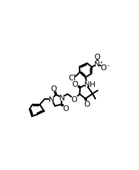 CC(C)(C)C(=O)C(OCN1C(=O)CN(Cc2ccccc2)C1=O)C(=O)Nc1cc([N+](=O)[O-])ccc1Cl